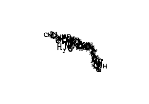 Cc1nc(NC(=O)c2ccc(-c3nn4c(c3C(N)=O)Nc3ccc(N5CCN(CC6CN(c7ccc(N8CCC(=O)NC8=O)cc7)C6)CC5)cc3CC4)c(F)c2C)ccc1Cl